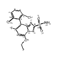 CCOc1nc(F)c(-c2c(Cl)cccc2Cl)c2nc(S(N)(=O)=O)nn12